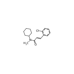 CN(C(=O)/C=C/c1ccccc1Cl)C1CCCCC1